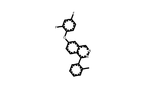 Cc1ccccc1-c1nncc2cc(Oc3ccc(F)cc3F)ccc12